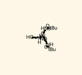 CC(C)(C)CC(=O)NCCCOc1nc(NCCCCO)nc(OCCCNC(=O)OC(C)(C)C)n1